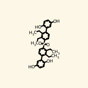 CCc1c(-c2cc(O)ccc2O)ccc(S(=O)(=O)c2ccc(-c3cc(O)ccc3O)c(CC)c2CC)c1CC